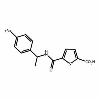 CC(NC(=O)c1ccc(C(=O)O)s1)c1ccc(C(C)(C)C)cc1